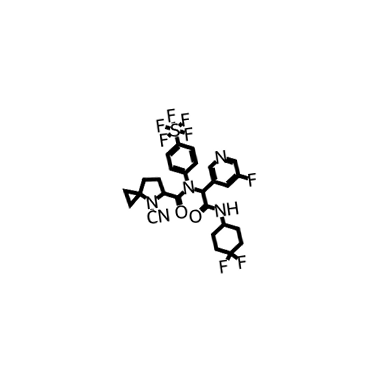 N#CN1C(C(=O)N(c2ccc(S(F)(F)(F)(F)F)cc2)C(C(=O)NC2CCC(F)(F)CC2)c2cncc(F)c2)CCC12CC2